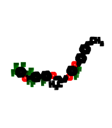 CCCC1CCC(C2CCC(COc3ccc(OCCC(C)CCOc4ccc(-c5cc(F)c(C(F)(F)Oc6cc(F)c(F)c(F)c6)c(F)c5)c(F)c4)c(F)c3F)CC2)CC1